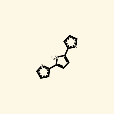 C1=C(c2cccs2)[SiH2]C(c2cccs2)=C1